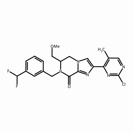 COCC1Cn2cc(-c3nc(Cl)ncc3C)nc2C(=O)N1Cc1cccc(C(F)F)c1